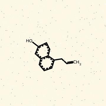 C=CCc1cccc2cc(O)ccc12